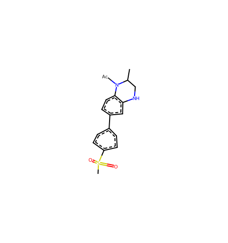 CC(=O)N1c2ccc(-c3ccc(S(C)(=O)=O)cc3)cc2NCC1C